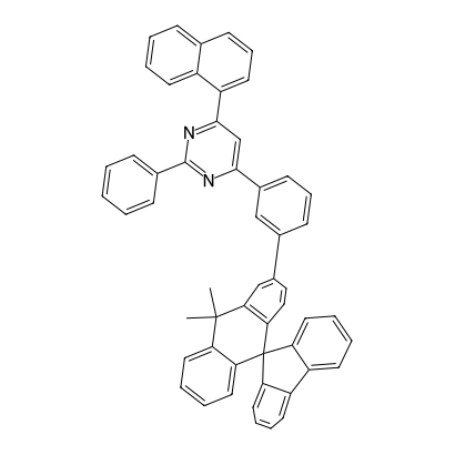 CC1(C)c2ccccc2C2(c3ccccc3-c3ccccc32)c2ccc(-c3cccc(-c4cc(-c5cccc6ccccc56)nc(-c5ccccc5)n4)c3)cc21